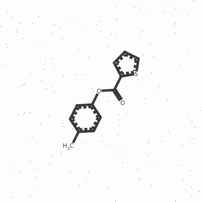 Cc1ccc(OC(=O)c2cccs2)cc1